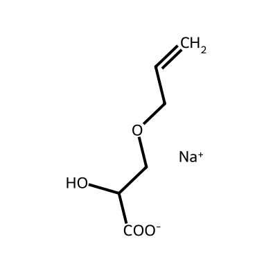 C=CCOCC(O)C(=O)[O-].[Na+]